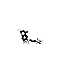 COc1cc2oc(=O)cc(C)c2cc1OCCCOS(C)(=O)=O